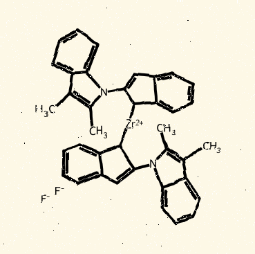 Cc1c(C)n(C2=Cc3ccccc3[CH]2[Zr+2][CH]2C(n3c(C)c(C)c4ccccc43)=Cc3ccccc32)c2ccccc12.[F-].[F-]